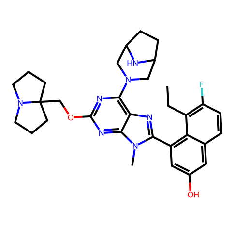 CCc1c(F)ccc2cc(O)cc(-c3nc4c(N5CC6CCC(C5)N6)nc(OCC56CCCN5CCC6)nc4n3C)c12